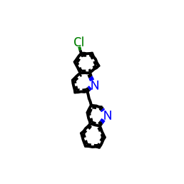 Clc1ccc2nc(-c3cnc4ccccc4c3)ccc2c1